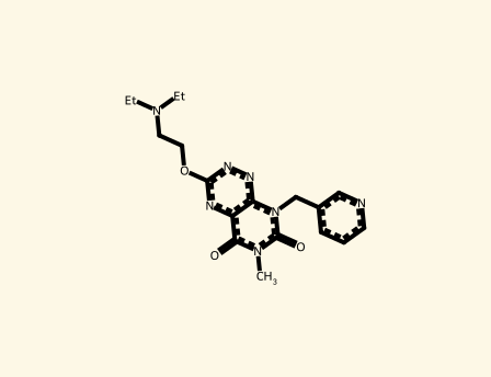 CCN(CC)CCOc1nnc2c(n1)c(=O)n(C)c(=O)n2Cc1cccnc1